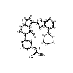 CC(C)(C)C(=O)Nc1cncc(-c2ncc3[nH]nc(-c4nc5c(N6CCCCC6)cccc5[nH]4)c3c2F)c1